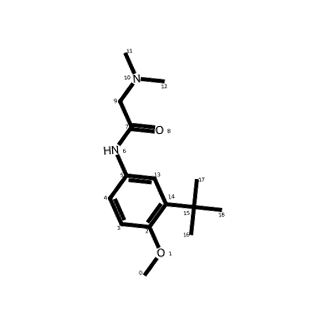 COc1ccc(NC(=O)CN(C)C)cc1C(C)(C)C